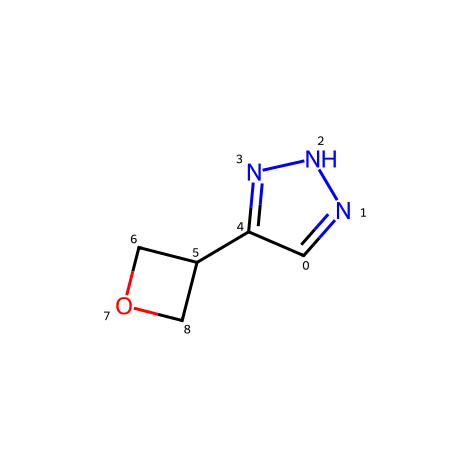 c1n[nH]nc1C1COC1